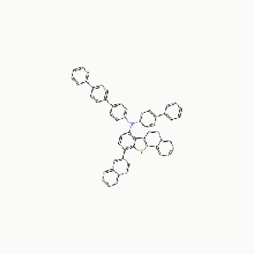 c1ccc(-c2ccc(-c3ccc(N(c4ccc(-c5ccccc5)cc4)c4ccc(-c5ccc6ccccc6c5)c5sc6c7ccccc7ccc6c45)cc3)cc2)cc1